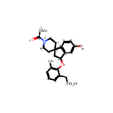 CCOC(=O)Cc1cccc(C#N)c1OC1CC2(CCN(C(=O)OC)CC2)c2ccc(Br)cc21